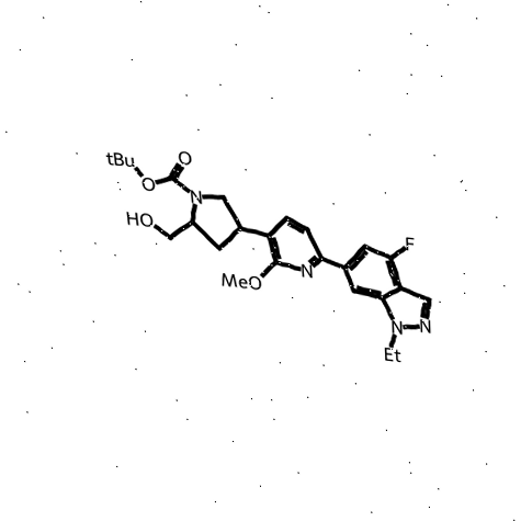 CCn1ncc2c(F)cc(-c3ccc(C4CC(CO)N(C(=O)OC(C)(C)C)C4)c(OC)n3)cc21